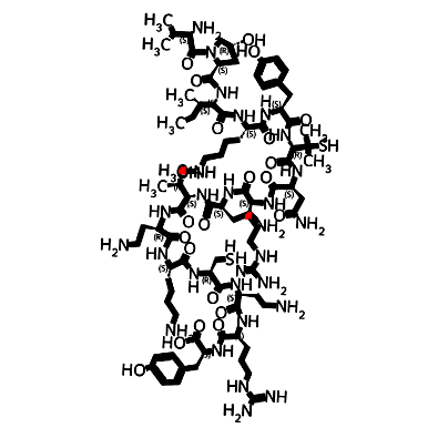 CC[C@H](C)[C@H](NC(=O)[C@@H]1C[C@@H](O)CN1C(=O)[C@@H](N)C(C)C)C(=O)N[C@@H](CCCCNC)C(=O)N[C@@H](Cc1ccc(O)cc1)C(=O)N[C@H](C(=O)N[C@@H](CC(N)=O)C(=O)N[C@@H](CCCNC(=N)N)C(=O)N[C@@H](CCN)C(=O)N[C@H](C(=O)N[C@H](CCN)C(=O)N[C@@H](CCCCN)C(=O)N[C@@H](CS)C(=O)N[C@@H](CCN)C(=O)N[C@@H](CCCNC(=N)N)C(=O)N[C@@H](Cc1ccc(O)cc1)C(=O)O)[C@@H](C)O)C(C)(C)S